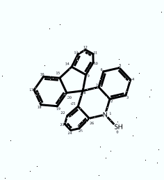 SN1c2ccccc2C2(c3ccccc3-c3ccccc32)c2ccccc21